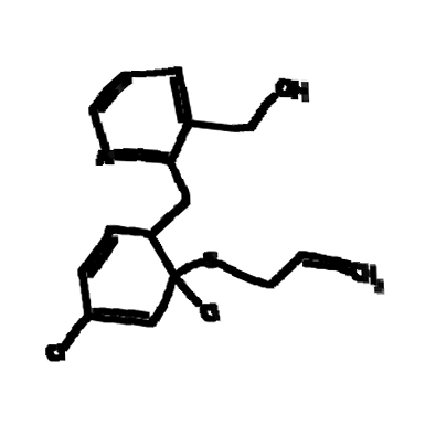 C=CCSC1(Cl)C=C(Cl)C=CC1Cc1ncccc1CO